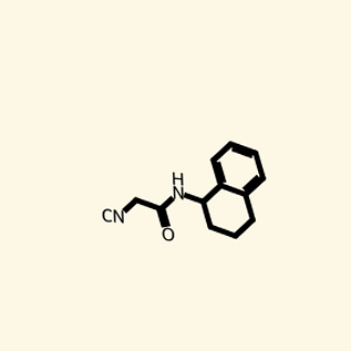 [C-]#[N+]CC(=O)NC1CCCc2ccccc21